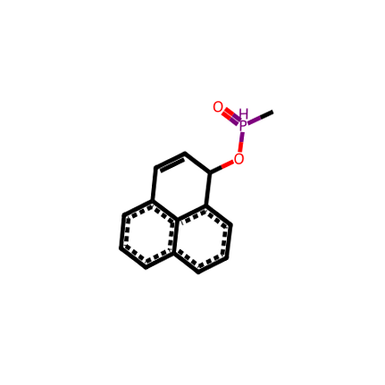 C[PH](=O)OC1C=Cc2cccc3cccc1c23